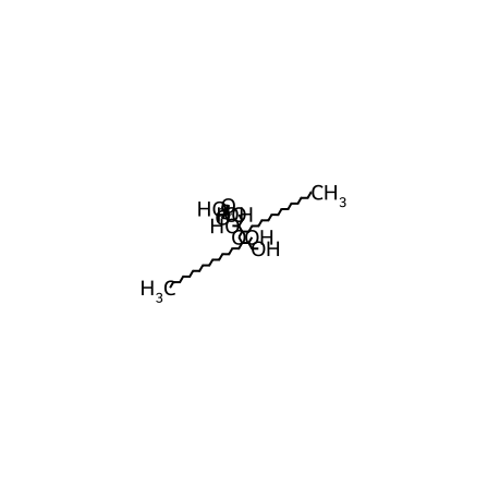 CCCCCCCCCCCCCCCC(OC(CCCCCCCCCCCCCCC)C(O)CO)C(O)CO.O=S(=O)(O)O